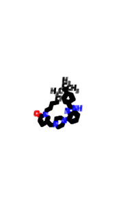 CCCCCn1cc(CN2CCN(c3cccc4[nH]c(-c5ccc(C(C)(C)C)cc5)nc34)CC2)ccc1=O